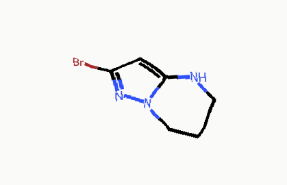 Brc1cc2n(n1)CCCN2